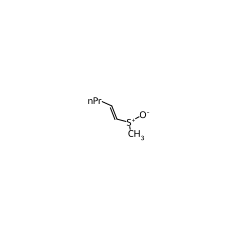 CCC/C=C/[S+](C)[O-]